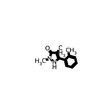 Cc1ccccc1-c1[nH]n(C)c(=O)c1C